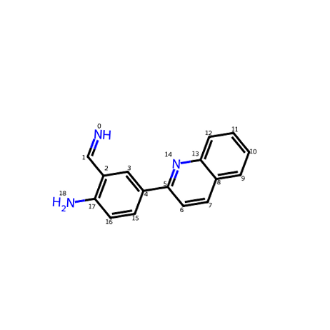 N=Cc1cc(-c2ccc3ccccc3n2)ccc1N